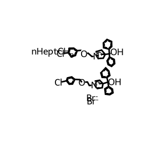 CCCCCCCC.OC(c1ccccc1)(c1ccccc1)C12CC[N+](CCOCc3ccc(Cl)cc3)(CC1)CC2.OC(c1ccccc1)(c1ccccc1)C12CC[N+](CCOCc3ccc(Cl)cc3)(CC1)CC2.[Br-].[Br-]